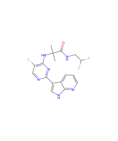 CC(C)(Nc1nc(-c2c[nH]c3ncccc23)ncc1F)C(=O)NCC(F)F